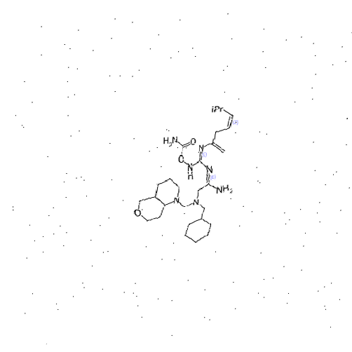 C=C(C/C=C\C(C)C)/N=C(\N=C(\N)CN(CC1CCCCC1)CN1CCCC2COCCC21)NOC(N)=O